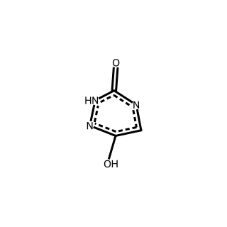 O=c1ncc(O)n[nH]1